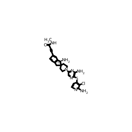 CNC(=O)C#Cc1ccc2c(c1)[C@@H](N)C1(CCN(c3cnc(Sc4ccnc(N)c4Cl)c(N)n3)CC1)C2